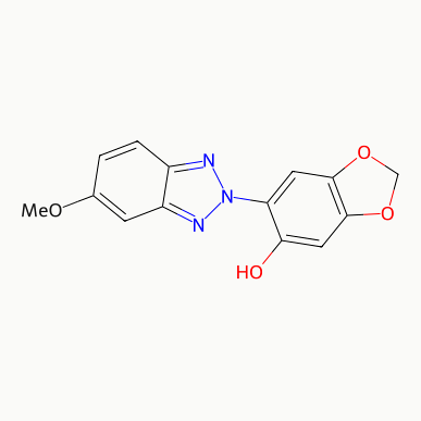 COc1ccc2nn(-c3cc4c(cc3O)OCO4)nc2c1